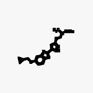 CC(=O)N[C@@H](C)COc1cc(-c2nc3cc(OCC4CC4)ccc3o2)[nH]n1